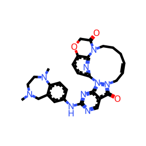 CN1CCN(C)c2ccc(Nc3ncc4c(=O)n5n(c4n3)-c3ccc4c(n3)N(CCC/C=C\C5)C(=O)CO4)cc2C1